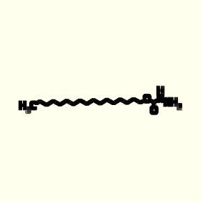 CCCCCCCCCCCCCCCCCOC(=O)NN